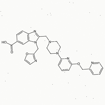 O=C(O)c1ccc2nc(CN3CCN(c4cccc(OCc5ccccn5)n4)CC3)n(Cc3ncco3)c2c1